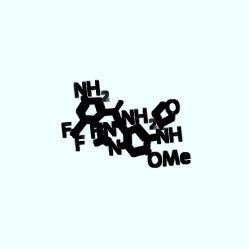 COc1cc2c(cc1N[C@H]1CCOC1)C(N)([C@H](C)c1cc(N)cc(C(F)F)c1F)NC(C)=N2